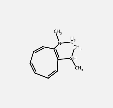 CN(C)C1=C([SiH](C)C)/C=C\C=C/C=C\1